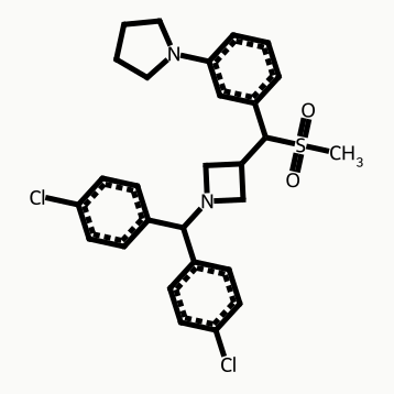 CS(=O)(=O)C(c1cccc(N2CCCC2)c1)C1CN(C(c2ccc(Cl)cc2)c2ccc(Cl)cc2)C1